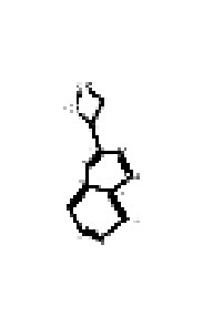 c1ccc2cc(C3COO3)ccc2c1